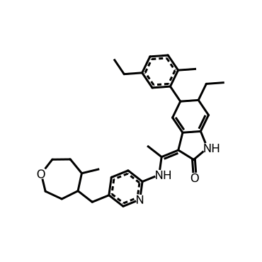 CCc1ccc(C)c(C2C=C3C(=CC2CC)NC(=O)/C3=C(/C)Nc2ccc(CC3CCOCCC3C)cn2)c1